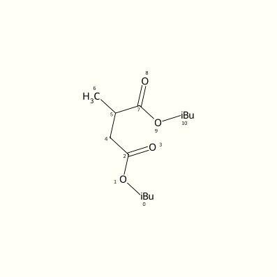 CCC(C)OC(=O)CC(C)C(=O)OC(C)CC